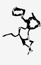 CCCC1=Nc2c(ncc(C)c2-n2ccnc2)N2CN(OC)C=C12